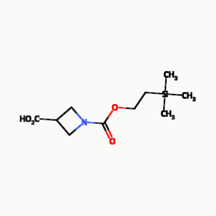 C[Si](C)(C)CCOC(=O)N1CC(C(=O)O)C1